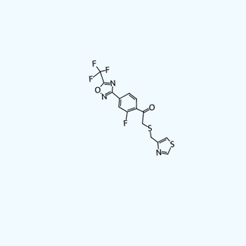 O=C(CSCc1cscn1)c1ccc(-c2noc(C(F)(F)F)n2)cc1F